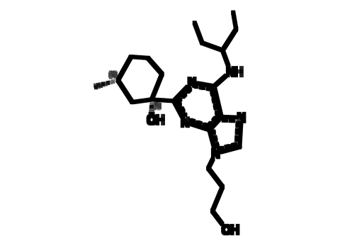 CCC(CC)Nc1nc([C@]2(O)CCC[C@@H](C)C2)nc2c1ncn2CCCO